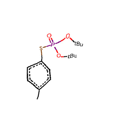 Cc1ccc(SP(=O)(OC(C)(C)C)OC(C)(C)C)cc1